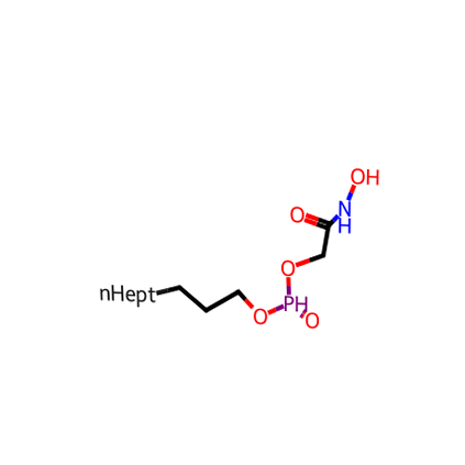 CCCCCCCCCCO[PH](=O)OCC(=O)NO